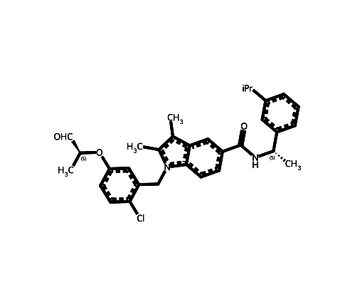 Cc1c(C)n(Cc2cc(O[C@@H](C)C=O)ccc2Cl)c2ccc(C(=O)N[C@@H](C)c3cccc(C(C)C)c3)cc12